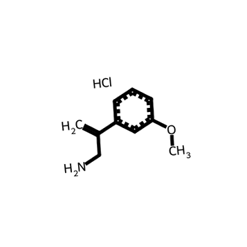 C=C(CN)c1cccc(OC)c1.Cl